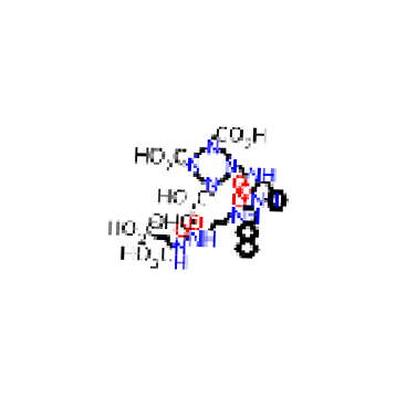 O=CO[C@H](CCCCNC(=O)[C@H](Cc1ccc2ccccc2c1)NC(=O)[C@H](Cc1ccccc1)NC(=O)CN1CCN(CC(=O)O)CCN(CC(=O)O)CCN(CC(=O)O)CC1)NC(=O)N[C@@H](CCC(=O)O)C(=O)O